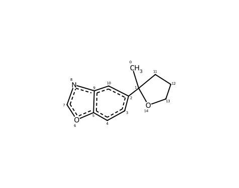 CC1(c2ccc3ocnc3c2)CCCO1